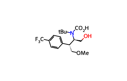 COC[C@H](c1ccc(C(F)(F)F)cc1)[C@H](CO)N(C(=O)O)C(C)(C)C